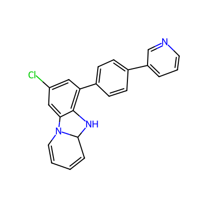 Clc1cc(-c2ccc(-c3cccnc3)cc2)c2c(c1)N1C=CC=CC1N2